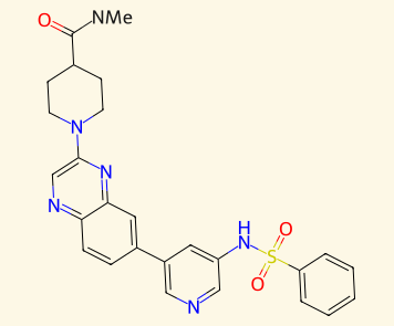 CNC(=O)C1CCN(c2cnc3ccc(-c4cncc(NS(=O)(=O)c5ccccc5)c4)cc3n2)CC1